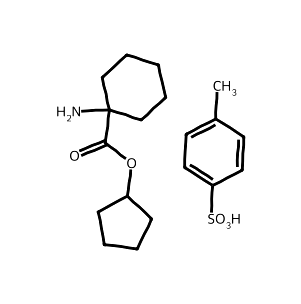 Cc1ccc(S(=O)(=O)O)cc1.NC1(C(=O)OC2CCCC2)CCCCC1